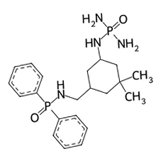 CC1(C)CC(CNP(=O)(c2ccccc2)c2ccccc2)CC(NP(N)(N)=O)C1